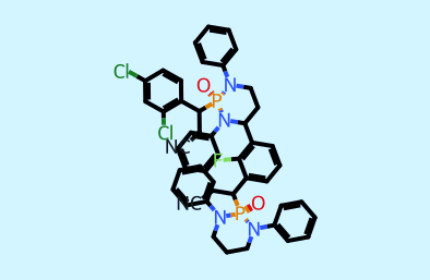 N#CCC(c1cccc(C2CCN(c3ccccc3)P(=O)(C(CC#N)c3ccc(Cl)cc3Cl)N2c2ccccc2)c1F)P1(=O)N(c2ccccc2)CCCN1c1ccccc1